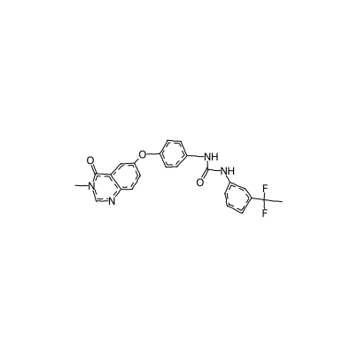 Cn1cnc2ccc(Oc3ccc(NC(=O)Nc4cccc(C(C)(F)F)c4)cc3)cc2c1=O